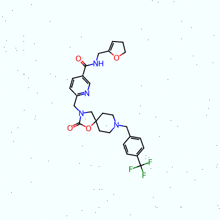 O=C(NCC1=CCCO1)c1ccc(CN2CC3(CCN(Cc4ccc(C(F)(F)F)cc4)CC3)OC2=O)nc1